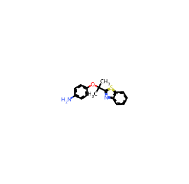 CC(C)(Oc1ccc(N)cc1)c1nc2ccccc2s1